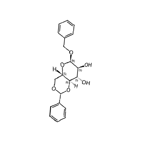 O[C@@H]1[C@H](OCc2ccccc2)O[C@H]2COC(c3ccccc3)O[C@@H]2[C@H]1O